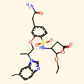 CCOC1OC(=O)CC1NS(=O)(=O)c1ccc(CC(N)=O)cc1OCC(C)n1cnc2ccc(C)cc21